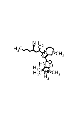 C=C(CC(C#N)CCCC)c1nc(C(=O)N[C@H](C(=O)NC)C(C)(C)C)c2n1CCCN(C)C2